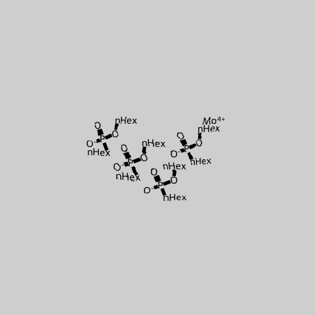 CCCCCCOP(=O)([O-])CCCCCC.CCCCCCOP(=O)([O-])CCCCCC.CCCCCCOP(=O)([O-])CCCCCC.CCCCCCOP(=O)([O-])CCCCCC.[Mo+4]